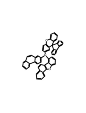 c1ccc2c(c1)Oc1ccc(N(c3ccc4c(ccc5ccccc54)c3)c3cccc4oc5c6ccccc6ccc5c34)cc1C21c2ccccc2-c2ccccc21